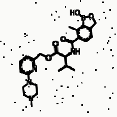 Cc1c(C(=O)NC(C(=O)OCc2cccc(N3CCN(C)CC3)n2)C(C)C)ccc2c1B(O)OC2